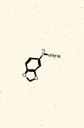 CCCCCCNc1ccc2c(c1)OCO2